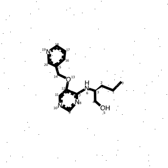 CCC[C@@H](CO)Nc1ncncc1OCc1cccnc1